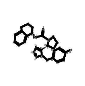 O=C(N[C@H]1CCCc2ccccc21)N1CCC[C@@H]1c1nnnn1Cc1ccc(Cl)cc1